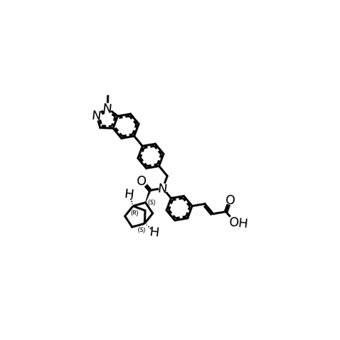 Cn1ncc2cc(-c3ccc(CN(C(=O)[C@H]4C[C@H]5CC[C@@H]4C5)c4cccc(C=CC(=O)O)c4)cc3)ccc21